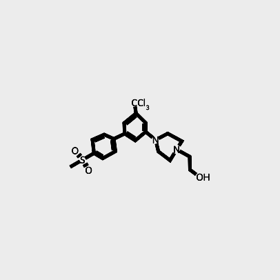 CS(=O)(=O)c1ccc(-c2cc(N3CCN(CCO)CC3)cc(C(Cl)(Cl)Cl)c2)cc1